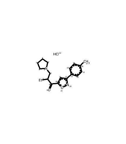 CCC(CN1CCCC1)C(=O)c1cc(-c2ccc(C)cc2)no1.Cl